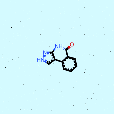 Nc1n[nH]cc1-c1ccccc1C=O